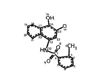 Cc1ccccc1S(=O)(=O)Nc1cc(Cl)c(O)c2ccccc12